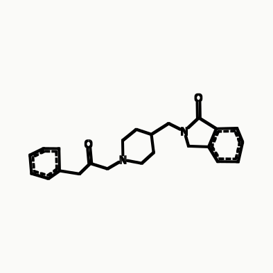 O=C(Cc1ccccc1)CN1CCC(CN2Cc3ccccc3C2=O)CC1